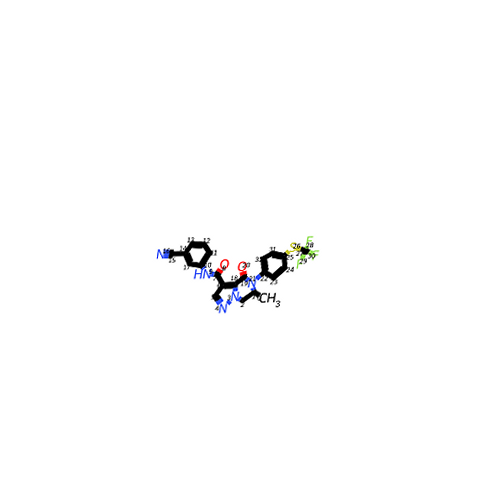 CC1Cn2ncc(C(=O)Nc3cccc(C#N)c3)c2C(=O)N1c1ccc(SC(F)(F)F)cc1